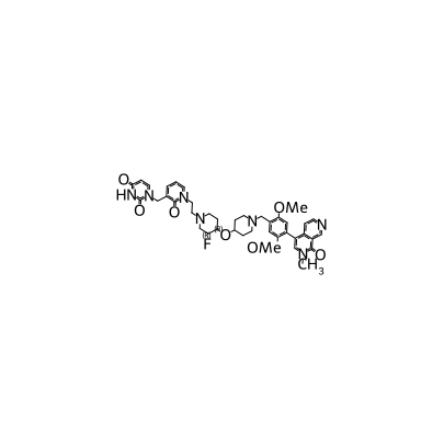 COc1cc(-c2cn(C)c(=O)c3cnccc23)c(OC)cc1CN1CCC(O[C@@H]2CCN(CCn3cccc(Cn4ccc(=O)[nH]c4=O)c3=O)C[C@H]2F)CC1